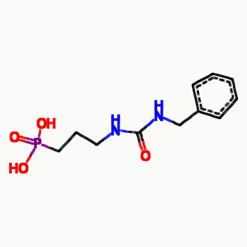 O=C(NCCCP(=O)(O)O)NCc1ccccc1